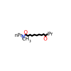 CCCN(C)C(=O)CCCCCCCCC(=O)C(C)C